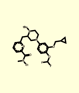 CCN(C)C(=O)c1cccc(CC2CN(c3ccc(OC(F)F)c(OCC4CC4)c3)CCN2C(C)(C)C)n1